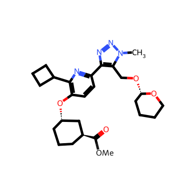 COC(=O)[C@H]1CCC[C@H](Oc2ccc(-c3nnn(C)c3CO[C@H]3CCCCO3)nc2C2CCC2)C1